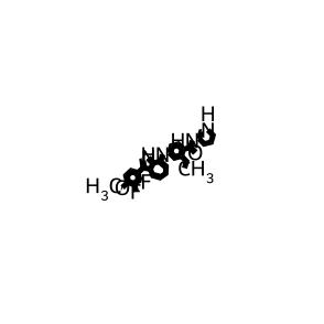 CCc1cc(NC2=CCC=CC3C(c4ccc(OC)c(F)c4F)=CN=C23)ccc1C(=O)NC1CCCNC1